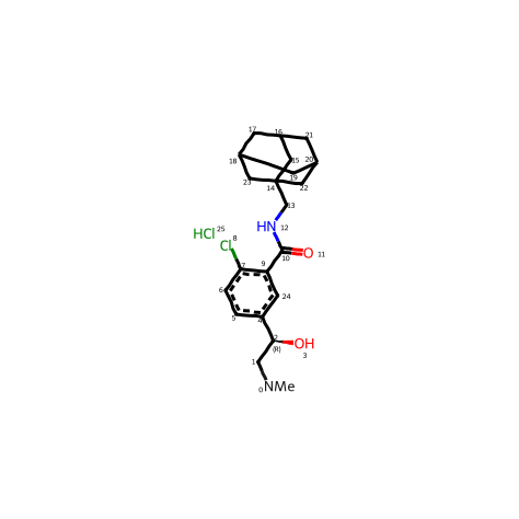 CNC[C@H](O)c1ccc(Cl)c(C(=O)NCC23CC4CC(CC(C4)C2)C3)c1.Cl